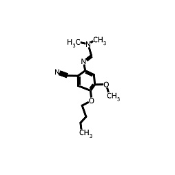 CCCCOc1cc(C#N)c(/N=C/N(C)C)cc1OC